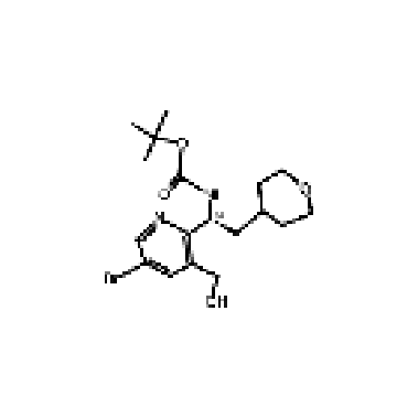 CC(C)(C)OC(=O)N[C@@H](CC1CCOCC1)c1ncc(Br)cc1CO